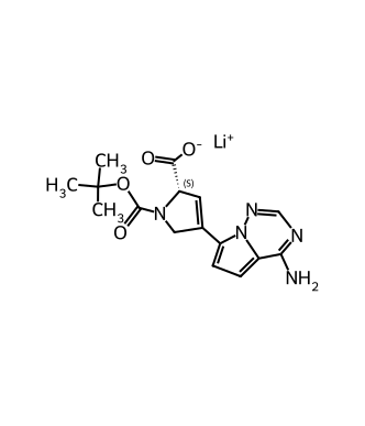 CC(C)(C)OC(=O)N1CC(c2ccc3c(N)ncnn23)=C[C@H]1C(=O)[O-].[Li+]